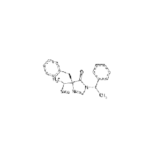 CSC(C)[C@@]1(Cc2ccccc2)N=CN(C(C)c2ccccc2)C1=O